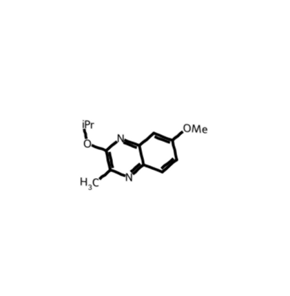 COc1ccc2nc(C)c(OC(C)C)nc2c1